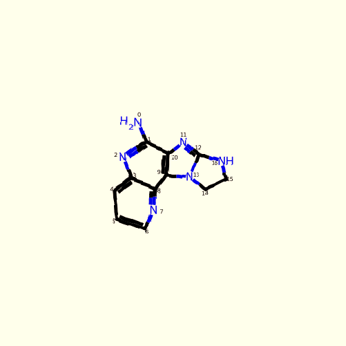 Nc1nc2cccnc2c2c1nc1n2CCN1